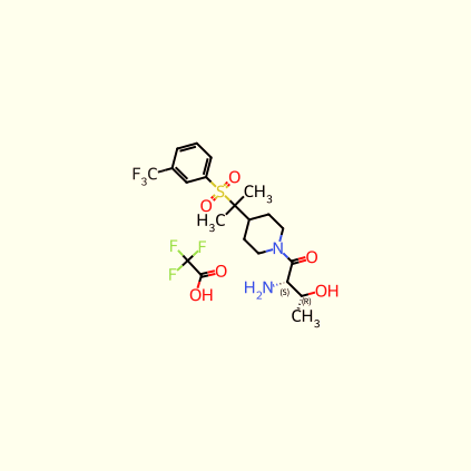 C[C@@H](O)[C@H](N)C(=O)N1CCC(C(C)(C)S(=O)(=O)c2cccc(C(F)(F)F)c2)CC1.O=C(O)C(F)(F)F